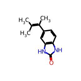 CC(C)=C(C)c1ccc2[nH]c(=O)[nH]c2c1